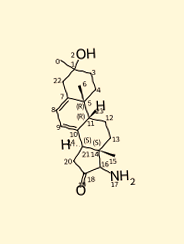 CC1(O)CC[C@@]2(C)C(=CC=C3[C@H]2CC[C@]2(C)C(N)C(=O)C[C@@H]32)C1